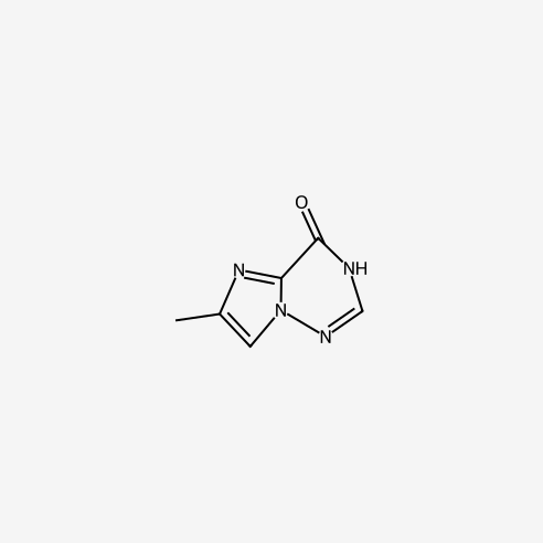 Cc1cn2nc[nH]c(=O)c2n1